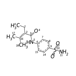 CCC(C(=O)Nc1ccc(S(N)(=O)=O)cc1)=C(C)C